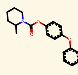 CC1CCCCN1C(=O)Oc1ccc(Oc2ccccc2)cc1